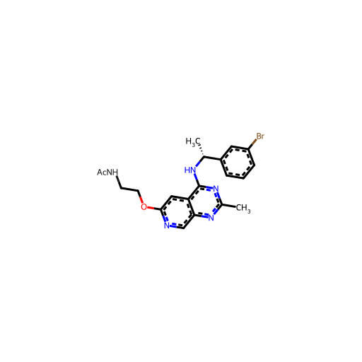 CC(=O)NCCOc1cc2c(N[C@H](C)c3cccc(Br)c3)nc(C)nc2cn1